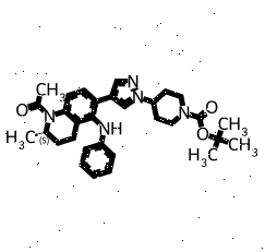 CC(=O)N1c2ccc(-c3cnn(C4CCN(C(=O)OC(C)(C)C)CC4)c3)c(Nc3ccccc3)c2CC[C@@H]1C